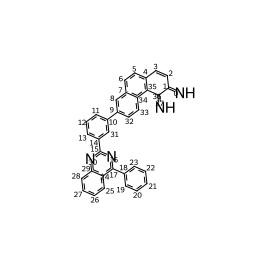 N=C1C=Cc2ccc3cc(-c4cccc(-c5nc(-c6ccccc6)c6ccccc6n5)c4)ccc3c2C1=N